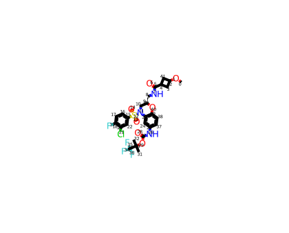 COC1CC(C(=O)NC[C@H]2CN(S(=O)(=O)c3ccc(F)c(Cl)c3)c3cc(NC(=O)OC(C)(C)C(F)(F)F)ccc3O2)C1